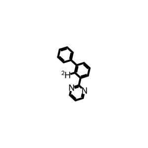 [2H]c1c(-c2ccccc2)cccc1-c1ncccn1